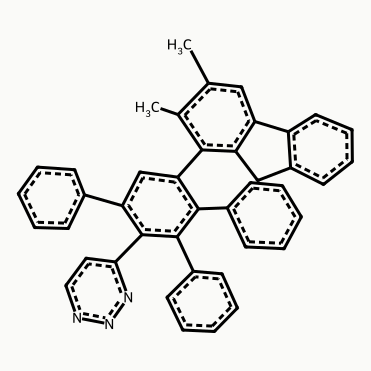 Cc1cc2c(c(-c3cc(-c4ccccc4)c(-c4ccnnn4)c(-c4ccccc4)c3-c3ccccc3)c1C)Cc1ccccc1-2